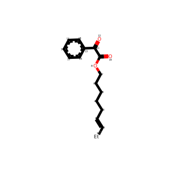 CCC=CCCCCCOC(=O)C(=O)c1ccccc1